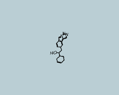 OC(CC1C=Cc2cn3nncc3c2=C1)C1CC=CCC1